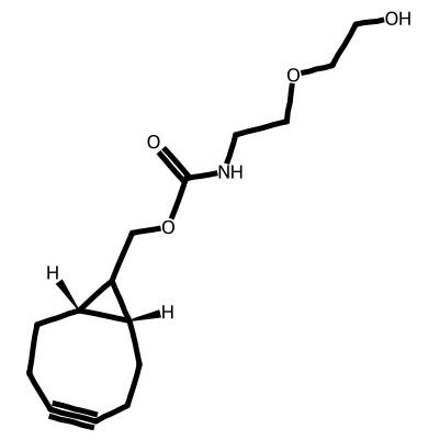 O=C(NCCOCCO)OCC1[C@H]2CCC#CCC[C@@H]12